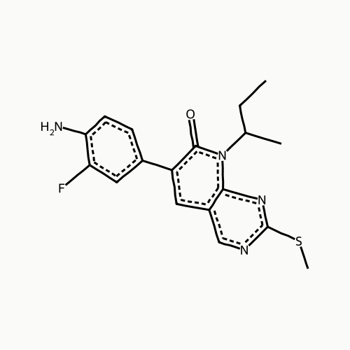 CCC(C)n1c(=O)c(-c2ccc(N)c(F)c2)cc2cnc(SC)nc21